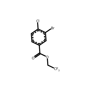 O=C(OCC(F)(F)F)c1ccc(Cl)c(Br)c1